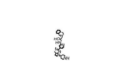 C=N/C(=N\c1c(C)ccn1C1CCNCC1)c1ccnc(NCC(O)CN2CCc3ccccc3C2)c1